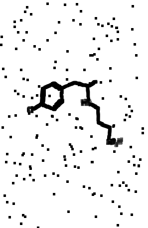 CC(Cc1ccc(Cl)cc1)NCCCS(=O)(=O)O